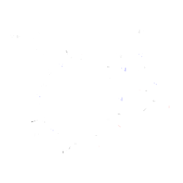 COc1ccc(C[C@H]2C(=O)O[C@H](C)[C@H](NC(=O)C(CC(C)C)N(C)C(=O)C3CCCN3C(=O)[C@H](C)O)C(=O)N[C@H](C(C)C)[C@@H](O)CC(=O)O[C@@H](C(C)C)C(=O)N[C@@H](CC(C)C)C(=O)N3CCC[C@H]3C(=O)N2C)cc1